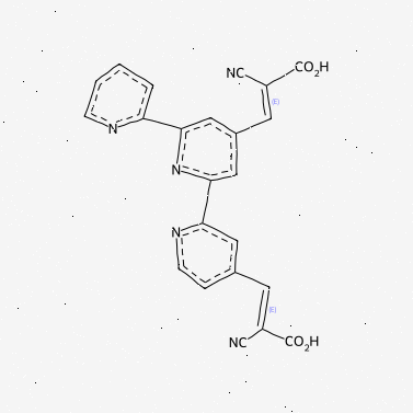 N#C/C(=C\c1ccnc(-c2cc(/C=C(\C#N)C(=O)O)cc(-c3ccccn3)n2)c1)C(=O)O